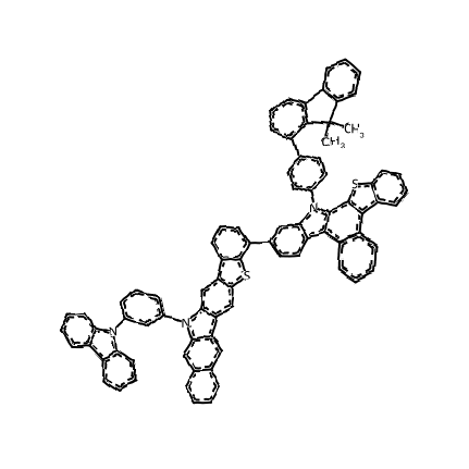 CC1(C)c2ccccc2-c2cccc(-c3ccc(-n4c5cc(-c6cccc7c6sc6cc8c9cc%10ccccc%10cc9n(-c9cccc(-n%10c%11ccccc%11c%11ccccc%11%10)c9)c8cc67)ccc5c5c6ccccc6c6c7ccccc7sc6c54)cc3)c21